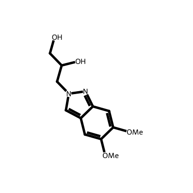 COc1cc2cn(CC(O)CO)nc2cc1OC